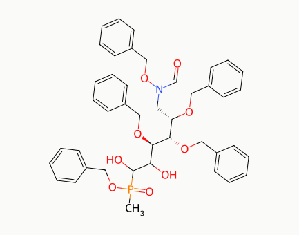 CP(=O)(OCc1ccccc1)C(O)C(O)[C@@H](OCc1ccccc1)[C@@H](OCc1ccccc1)[C@H](CN(C=O)OCc1ccccc1)OCc1ccccc1